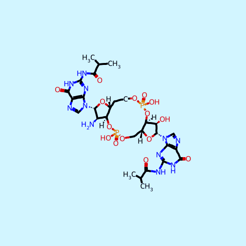 CC(C)C(=O)Nc1nc2c(ncn2[C@@H]2O[C@@H]3CCOP(=O)(O)O[C@H]4[C@@H](O)[C@H](n5cnc6c(=O)[nH]c(NC(=O)C(C)C)nc65)O[C@@H]4COP(=O)(O)O[C@H]3[C@H]2N)c(=O)[nH]1